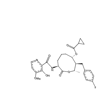 COc1ccnc(C(=O)N[C@H]2CCC[C@H](OC(=O)C3CC3)[C@@H](Cc3ccc(F)cc3)[C@H](C)OC2=O)c1O